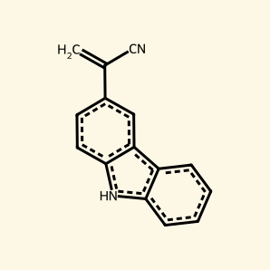 C=C(C#N)c1ccc2[nH]c3ccccc3c2c1